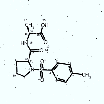 Cc1ccc(S(=O)(=O)N2CCC[C@H]2C(=O)N[C@@H](C)C(=O)O)cc1